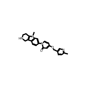 Cc1ccc(COc2ccn(-c3ccc4c5c(n(C)c4c3)CCNC5)c(=O)c2)cn1